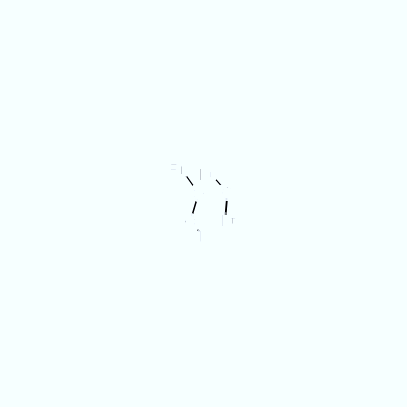 CCOCC.CCOOCC